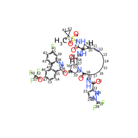 CC1(S(=O)(=O)NC(=O)[C@@]23C[C@H]2/C=C\CCCCC[C@H](NC(=O)c2ccn(C(F)F)n2)C(=O)N2C[C@H](Oc4nc5cc(F)ccc5c5cc(OC(F)(F)F)ccc45)C[C@H]2C(=O)N3)CC1